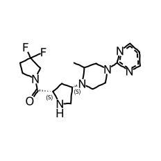 CC1CN(c2ncccn2)CCN1[C@@H]1CN[C@H](C(=O)N2CCC(F)(F)C2)C1